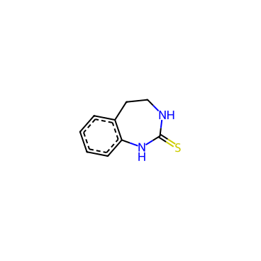 S=C1NCCc2ccccc2N1